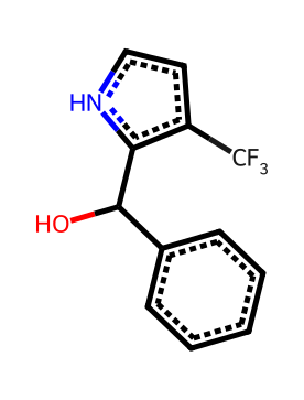 OC(c1ccccc1)c1[nH]ccc1C(F)(F)F